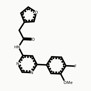 COc1cc(-c2cc(NC(=O)Cc3ccoc3)ncn2)ccc1F